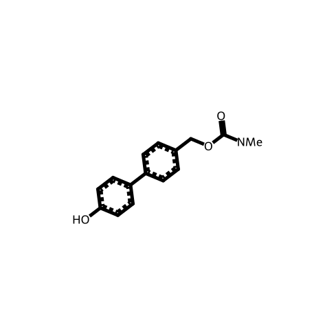 CNC(=O)OCc1ccc(-c2ccc(O)cc2)cc1